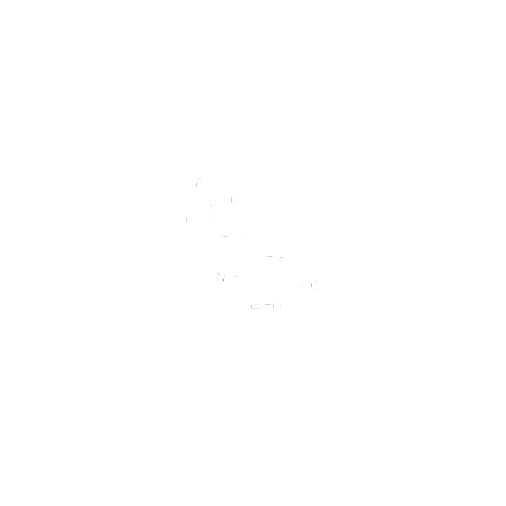 CC(=O)c1ncc(C(F)(F)F)cc1CC=O